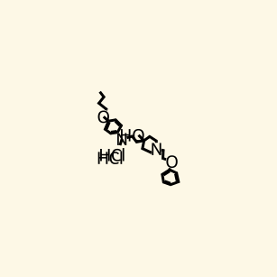 CCCCOc1ccc(N(C)CCC2(O)CCN(CCOc3ccccc3)CC2)cc1.Cl.Cl